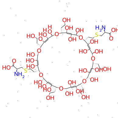 N[C@H](CSCC[C@H]1O[C@@H](O)/C(O)=C(/O)[C@@H](CCO)O[C@@H](O)/C(O)=C(\O)[C@@H](CCO)O[C@@H](O)/C(O)=C(\O)[C@@H](CCO)O[C@H](O)/C(O)=C(\O)[C@@H](CCSC[C@@H](N)C(=O)O)O[C@H](O)/C(O)=C(\O)[C@@H](CCO)O[C@H](O)/C(O)=C(/O)[C@@H](CCO)O[C@@H](O)/C(O)=C\1O)C(=O)O